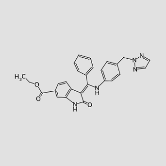 CCOC(=O)c1ccc2c(c1)NC(=O)/C2=C(\Nc1ccc(Cn2nccn2)cc1)c1ccccc1